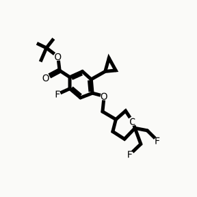 CC(C)(C)OC(=O)c1cc(C2CC2)c(OCC2CCC(CF)(CF)CC2)cc1F